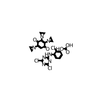 Clc1nc(Cl)nc(Nc2ccccc2Cl)n1.O=C(O)O.O=C1C=C(N2CC2)C(=O)C(N2CC2)=C1N1CC1